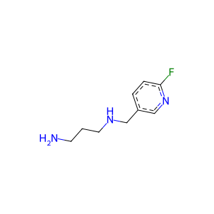 NCCCNCc1ccc(F)nc1